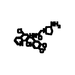 NC1CCCN(CC(=O)NC(c2ccc3c(c2)OCO3)c2cc(Cl)c3cccnc3c2O)C1